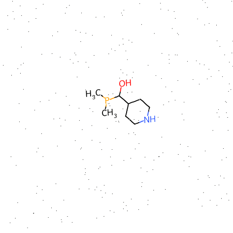 CP(C)C(O)C1CCNCC1